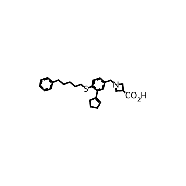 O=C(O)C1CN(Cc2ccc(SCCCCCc3ccccc3)c(C3=CCCC3)c2)C1